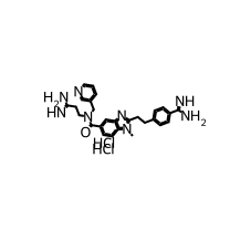 Cl.Cl.Cn1c(CCc2ccc(C(=N)N)cc2)nc2cc(C(=O)N(CCC(=N)N)Cc3cccnc3)ccc21